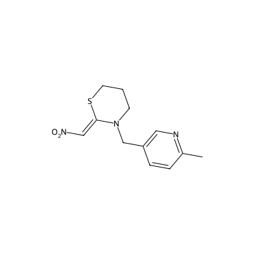 Cc1ccc(CN2CCCS/C2=C\[N+](=O)[O-])cn1